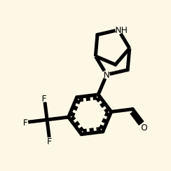 O=Cc1ccc(C(F)(F)F)cc1N1CC2CC1CN2